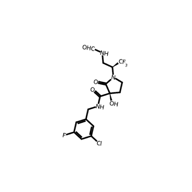 O=CNC[C@H](N1CC[C@](O)(C(=O)NCc2cc(F)cc(Cl)c2)C1=O)C(F)(F)F